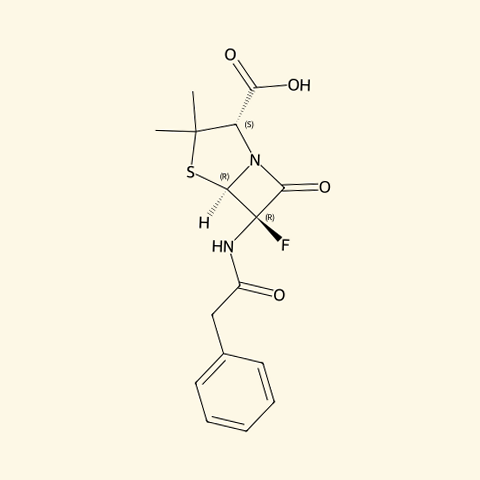 CC1(C)S[C@H]2N(C(=O)[C@]2(F)NC(=O)Cc2ccccc2)[C@H]1C(=O)O